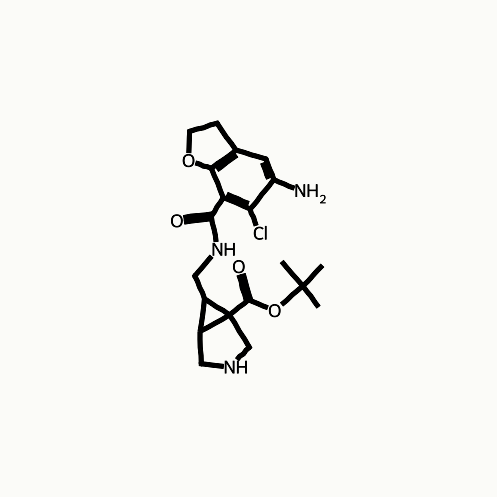 CC(C)(C)OC(=O)C12CNCC1C2CNC(=O)c1c(Cl)c(N)cc2c1OCC2